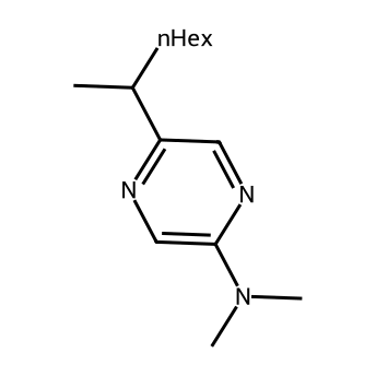 CCCCCCC(C)c1cnc(N(C)C)cn1